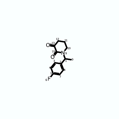 CC(c1ccc(F)cc1)N1CCCC(=O)C1=O